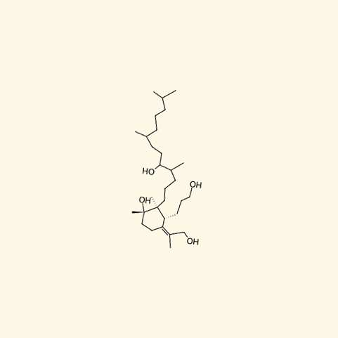 C/C(CO)=C1\CC[C@](C)(O)[C@@](C)(CCCC(C)C(O)CCC(C)CCCC(C)C)[C@@H]1CCCO